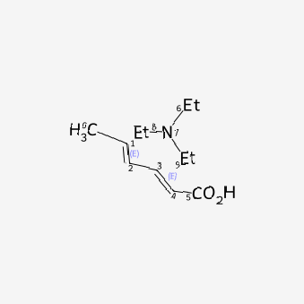 C/C=C/C=C/C(=O)O.CCN(CC)CC